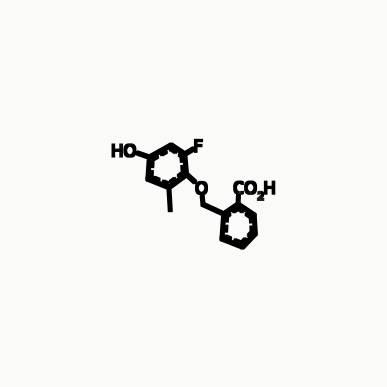 Cc1cc(O)cc(F)c1OCc1ccccc1C(=O)O